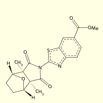 COC(=O)c1ccc2nc(N3C(=O)[C@@]4(C)[C@@H]5CC[C@@H](O5)[C@@]4(C)C3=O)sc2c1